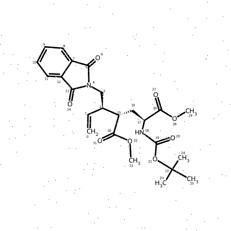 C=C[C@@H](CN1C(=O)c2ccccc2C1=O)[C@H](C[C@H](NC(=O)OC(C)(C)C)C(=O)OC)C(=O)OC